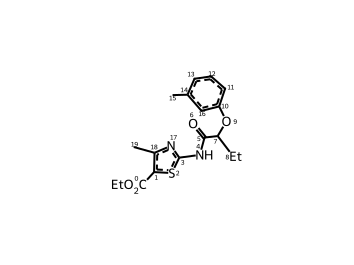 CCOC(=O)c1sc(NC(=O)C(CC)Oc2cccc(C)c2)nc1C